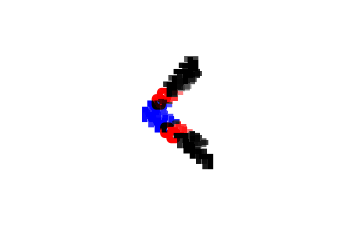 [N-3].[N-3].[N-3].[N-3].[O-2].[O-2].[O-2].[O-2].[Ti+4].[Ti+4].[Ti+4].[Ti+4].[Ti+4].[Ti].[Ti].[Ti].[Ti].[Ti]